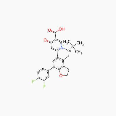 CC(C)(C)[C@@H]1Cc2c(cc(-c3ccc(F)c(F)c3)c3c2CCO3)-c2cc(=O)c(C(=O)O)cn21